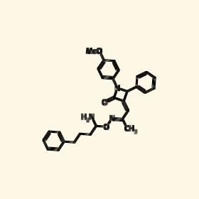 COc1ccc(N2C(=O)C(=CC(C)=NOC(N)CCCc3ccccc3)C2c2ccccc2)cc1